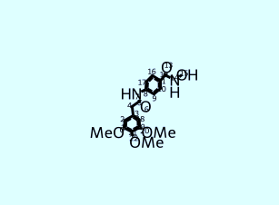 COc1cc(CC(=O)Nc2ccc(C(=O)NO)cc2)cc(OC)c1OC